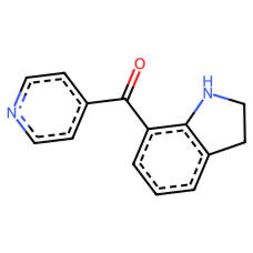 O=C(c1ccncc1)c1cccc2c1NCC2